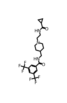 O=C(NCC1CCN(CCNC(=O)C2CC2)CC1)c1cc(C(F)(F)F)cc(C(F)(F)F)c1